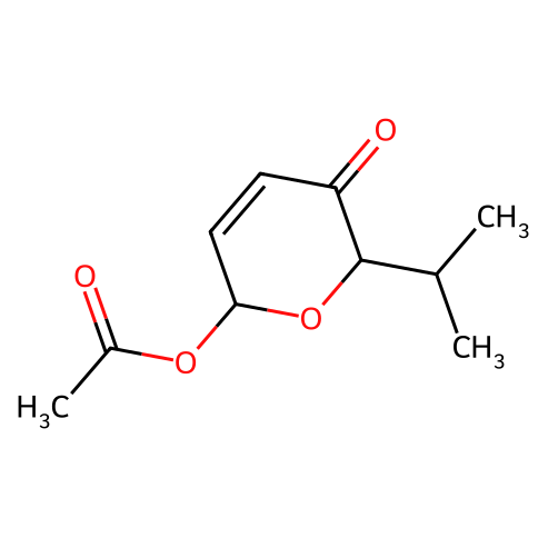 CC(=O)OC1C=CC(=O)C(C(C)C)O1